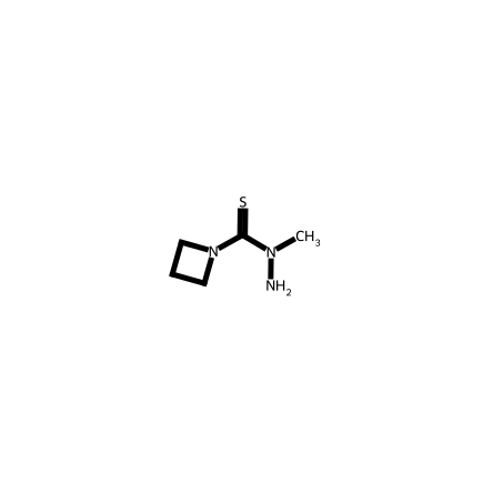 CN(N)C(=S)N1CCC1